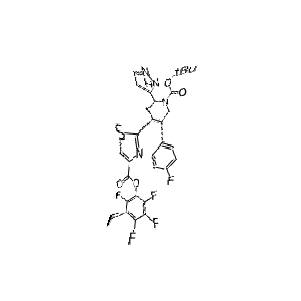 CC(C)(C)OC(=O)N1CC(c2ccc(F)cc2)C(c2nc(C(=O)Oc3c(F)c(F)c(F)c(F)c3F)cs2)CC1c1ccn[nH]1